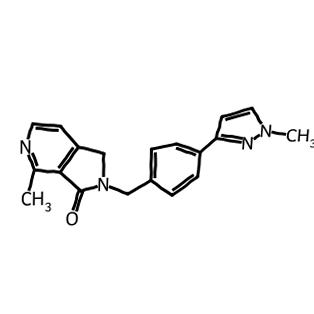 Cc1nccc2c1C(=O)N(Cc1ccc(-c3ccn(C)n3)cc1)C2